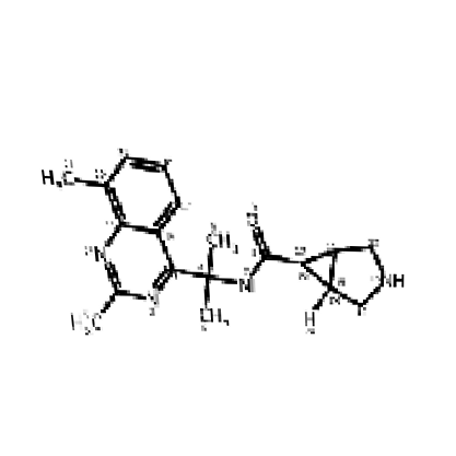 Cc1nc(C(C)(C)NC(=O)[C@H]2C3CNC[C@@H]32)c2cccc(C)c2n1